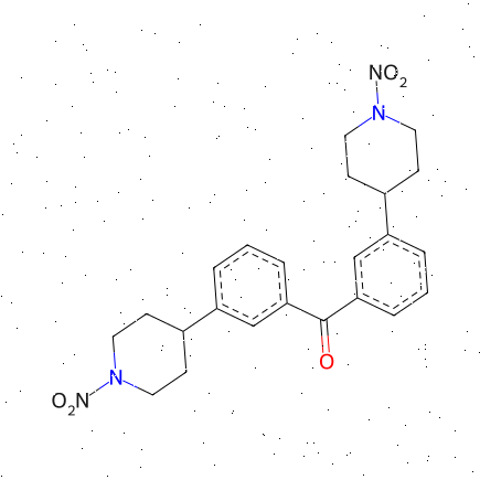 O=C(c1cccc(C2CCN([N+](=O)[O-])CC2)c1)c1cccc(C2CCN([N+](=O)[O-])CC2)c1